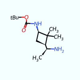 C[C@H](N)[C@H]1C[C@@H](NC(=O)OC(C)(C)C)C1(C)C